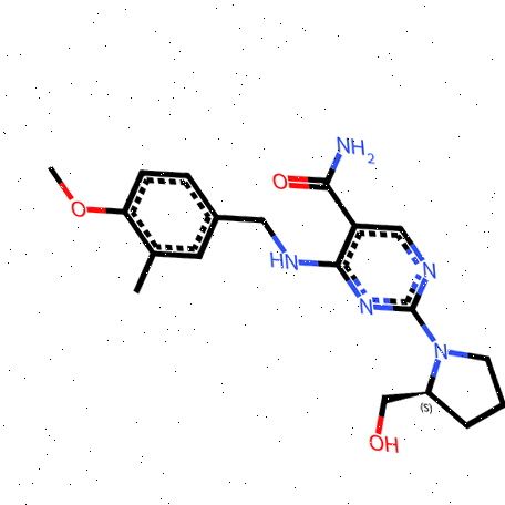 COc1ccc(CNc2nc(N3CCC[C@H]3CO)ncc2C(N)=O)cc1C